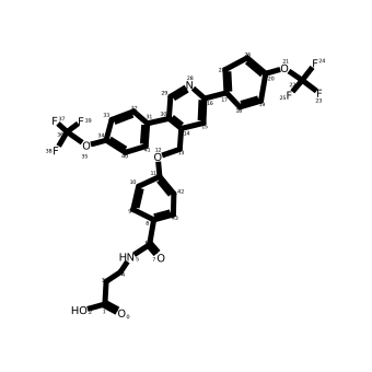 O=C(O)CCNC(=O)c1ccc(OCc2cc(-c3ccc(OC(F)(F)F)cc3)ncc2-c2ccc(OC(F)(F)F)cc2)cc1